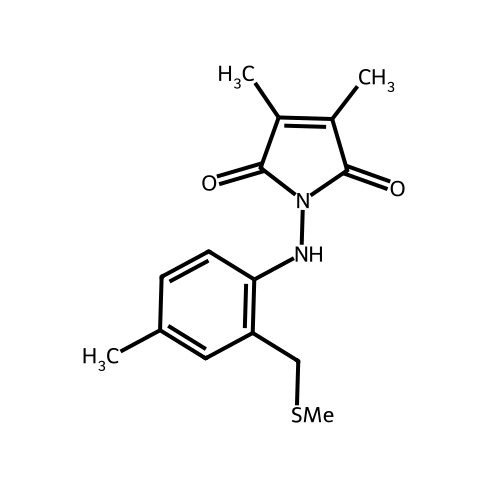 CSCc1cc(C)ccc1NN1C(=O)C(C)=C(C)C1=O